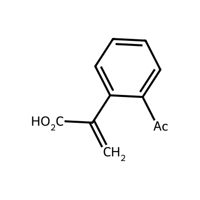 C=C(C(=O)O)c1ccccc1C(C)=O